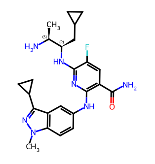 C[C@H](N)[C@@H](CC1CC1)Nc1nc(Nc2ccc3c(c2)c(C2CC2)nn3C)c(C(N)=O)cc1F